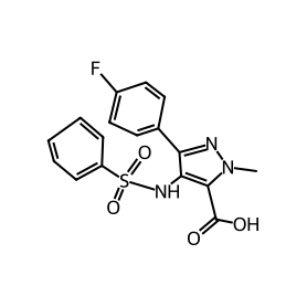 Cn1nc(-c2ccc(F)cc2)c(NS(=O)(=O)c2ccccc2)c1C(=O)O